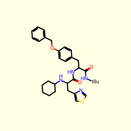 CC(C)(C)NC(=O)C(Cc1ccc(OCc2ccccc2)cc1)NC(=O)C(Cc1cscn1)NC1CCCCC1